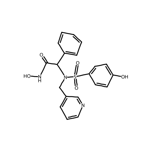 O=C(NO)C(c1ccccc1)N(Cc1cccnc1)S(=O)(=O)c1ccc(O)cc1